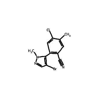 Cc1cc(C#N)c(-c2c(Br)cnn2C)cc1Cl